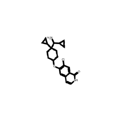 NC(C1CC1)C1(C2CC2)CCC(Oc2cc3cc[nH]c(=O)c3cc2Cl)CC1